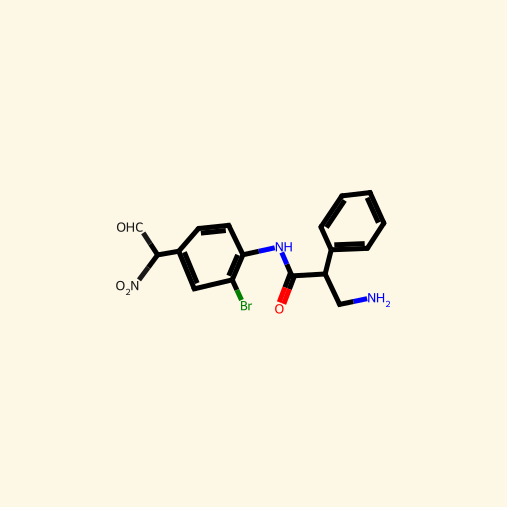 NCC(C(=O)Nc1ccc(C(C=O)[N+](=O)[O-])cc1Br)c1ccccc1